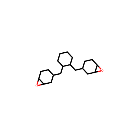 C1CCC(CC2CCC3OC3C2)C(CC2CCC3OC3C2)C1